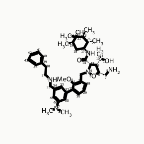 COc1c(CN2O[C@@H](CN)[C@@H]([C@H](C)O)[C@H]2C(=O)N[C@H]2C[C@@H](C)C(C)(C)[C@@H](C)[C@@H]2C)cccc1-c1cc(CNCCc2ccccc2)cc(N(C)C)c1